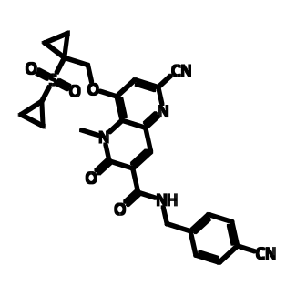 Cn1c(=O)c(C(=O)NCc2ccc(C#N)cc2)cc2nc(C#N)cc(OCC3(S(=O)(=O)C4CC4)CC3)c21